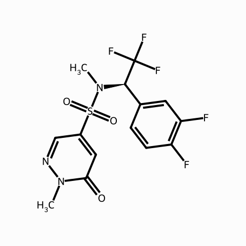 CN([C@H](c1ccc(F)c(F)c1)C(F)(F)F)S(=O)(=O)c1cnn(C)c(=O)c1